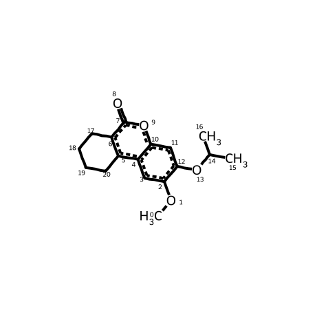 COc1cc2c3c(c(=O)oc2cc1OC(C)C)CCCC3